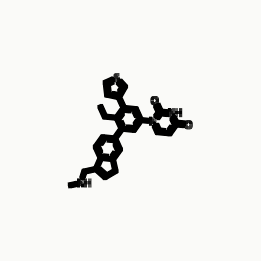 CCc1c(-c2ccsc2)cc(-n2ccc(=O)[nH]c2=O)cc1-c1ccc2c(c1)CC=C2CNC